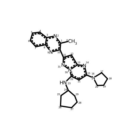 Cc1nc2ccccc2nc1-c1cc2nc(N3CCCC3)cc(NC3CCCCC3)n2n1